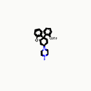 COc1ccccc1C1(c2ccccc2C)CCC(N2CCNCC2)CC1